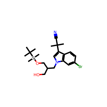 CC(C)(C#N)c1cn(CC(CO)CO[Si](C)(C)C(C)(C)C)c2cc(Br)ccc12